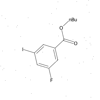 CCCCOC(=O)c1cc(F)cc(I)c1